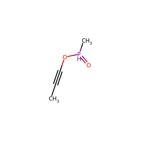 CC#CO[PH](C)=O